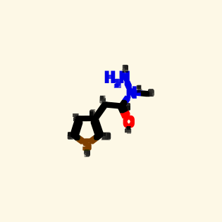 CN(N)C(=O)Cc1ccsc1